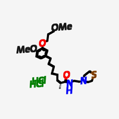 COCCCOc1cc(CCCCCC[C@@H](C)C(=O)NCCN2CCSCC2)ccc1OC.Cl.Cl